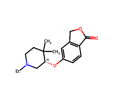 CCN1CCC(C)(C)[C@H](Oc2ccc3c(c2)COC3=O)C1